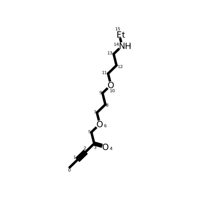 CC#CC(=O)COCCCOCCCNCC